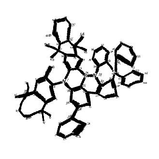 Cc1cc2c(cc1N1c3cc4c(cc3B3c5c(cc(-c6ccccc6)cc51)-c1cccc5c1N3c1ccccc1[Si]5(c1ccccc1)c1ccccc1)C(C)(C)c1ccccc1C4(C)C)C(C)(C)CCC2(C)C